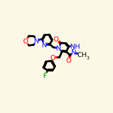 Cn1[nH]c2cc(=O)n(Cc3cccc(N4CCOCC4)n3)c(COc3ccc(F)cc3)c2c1=O